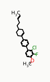 C/C=C/CCC1CC=C(c2ccc(-c3ccc(OC)c(F)c3Cl)cc2)CC1